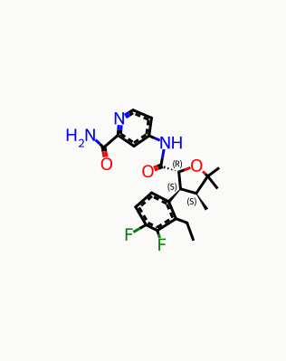 CCc1c([C@H]2[C@H](C(=O)Nc3ccnc(C(N)=O)c3)OC(C)(C)[C@H]2C)ccc(F)c1F